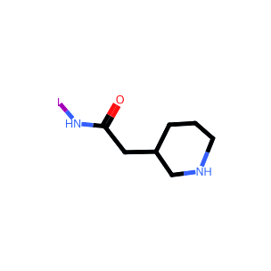 O=C(CC1CCCNC1)NI